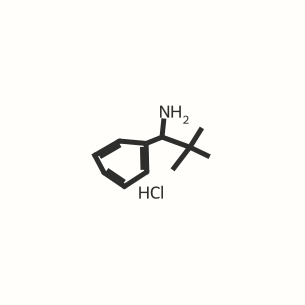 CC(C)(C)C(N)c1ccccc1.Cl